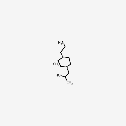 C.CC(O)CN1CCN(CCN)CC1